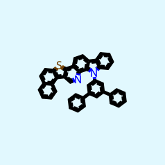 c1ccc(-c2cc(-c3ccccc3)cc(-n3c4ccccc4c4ccc5c(ncc6c5sc5ccc7ccccc7c56)c43)c2)cc1